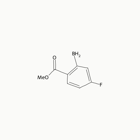 Bc1cc(F)ccc1C(=O)OC